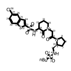 CCCCS(=O)(=O)NC[C@@H]1CCCN1C(=O)CN1CCCC(NS(=O)(=O)c2cc3cc(Cl)ccc3s2)C1=O